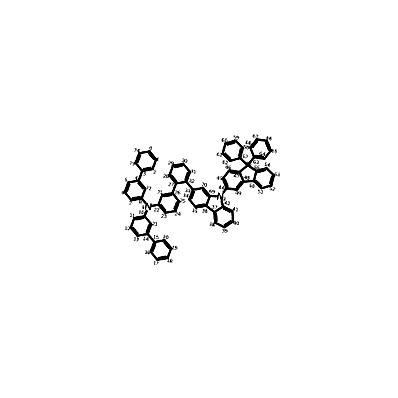 c1ccc(-c2cccc(N(c3cccc(-c4ccccc4)c3)c3cccc(-c4ccccc4-c4ccc5c6ccccc6n(-c6ccc7c(c6)-c6ccccc6C7(c6ccccc6)c6ccccc6)c5c4)c3)c2)cc1